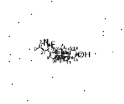 Cc1cnc(F)c(C2=CC[C@H]3[C@@H]4CC=C5C[C@@H](O)CC[C@]5(C)[C@H]4CC[C@]23C)c1